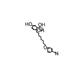 N#Cc1ccc(OCCCCCCCCC2(O)C=CC(O)=CC2C(=O)O)cc1